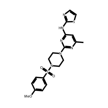 COc1ccc(S(=O)(=O)N2CCN(c3nc(C)cc(Nc4nccs4)n3)CC2)cc1